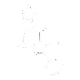 Cc1c([C@H](O)c2c(C3CC3)sc3cncn23)nnn1-c1ccccc1